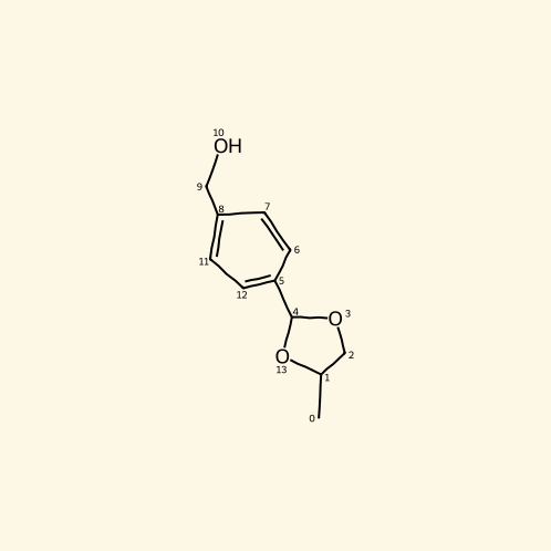 CC1COC(c2ccc(CO)cc2)O1